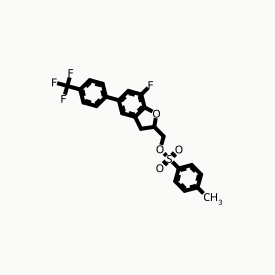 Cc1ccc(S(=O)(=O)OCC2Cc3cc(-c4ccc(C(F)(F)F)cc4)cc(F)c3O2)cc1